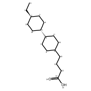 CC[C@H]1CC[C@H](C2CCC(CCCC(=O)O)CC2)CC1